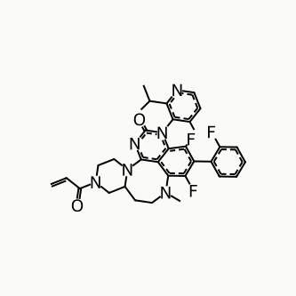 C=CC(=O)N1CCN2c3nc(=O)n(-c4c(C)ccnc4C(C)C)c4c(F)c(-c5ccccc5F)c(F)c(c34)N(C)CCC2C1